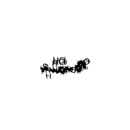 CC(C)C(=O)NCCNCC1=CCN(CCCOc2ccc3c(ccc(=O)n3C)c2)C=C1.Cl.Cl